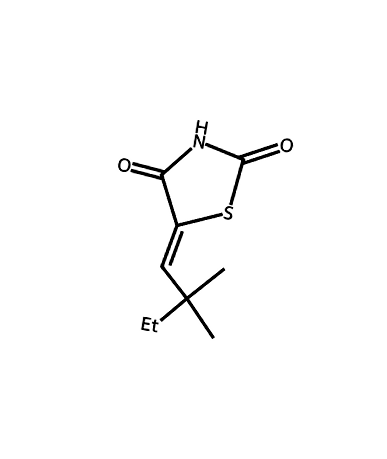 CCC(C)(C)/C=C1\SC(=O)NC1=O